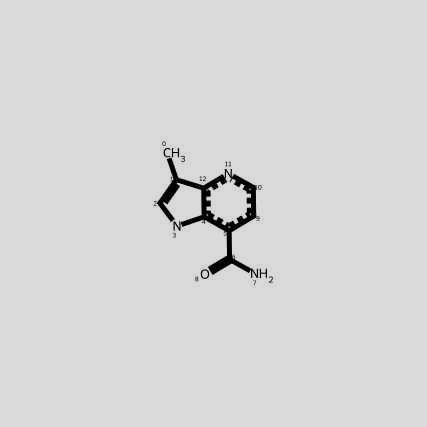 CC1=C[N]c2c(C(N)=O)ccnc21